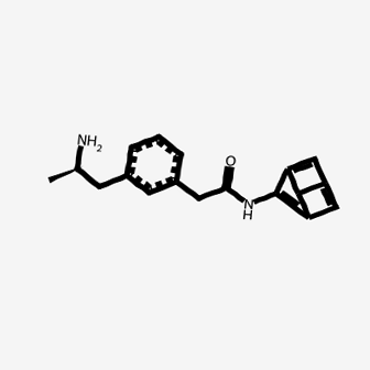 C[C@@H](N)Cc1cccc(CC(=O)NC2=C3C=C4C=C2C43)c1